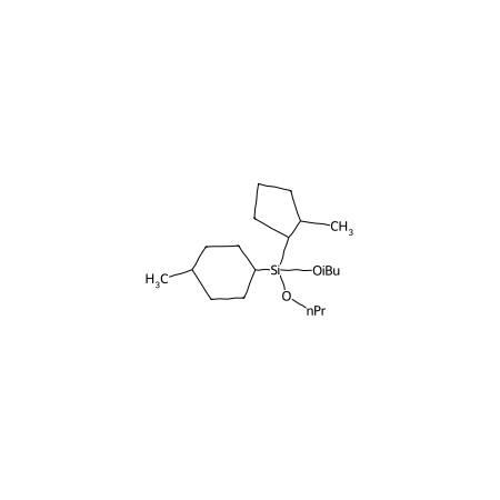 CCCO[Si](OCC(C)C)(C1CCC(C)CC1)C1CCCC1C